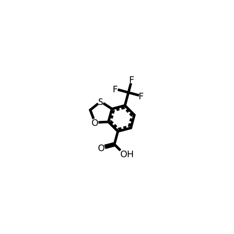 O=C(O)c1ccc(C(F)(F)F)c2c1OCS2